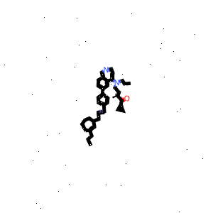 CCCC1=CC(C/C=C/c2ccc(C3=CCC4=CN=CC=C(N(CCC)CC[C@H](C)C(=O)C5CC5)C4=C3)cc2)CCCC1